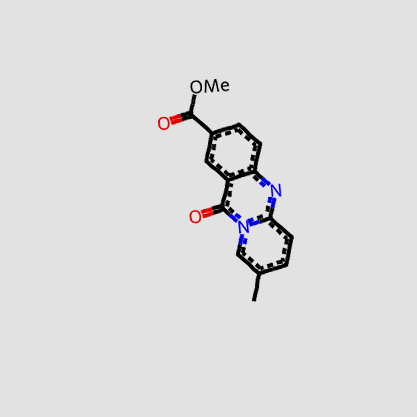 COC(=O)c1ccc2nc3ccc(C)cn3c(=O)c2c1